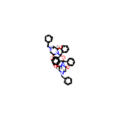 Cc1ccccc1C(OC(c1ccccc1)(c1ccccc1C)N1C(=O)CN(Cc2ccccc2)CC1=O)(c1ccccc1)N1C(=O)CN(Cc2ccccc2)CC1=O